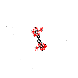 CC(=O)OC[C@H]1O[C@@]2(CCc3cc(-c4ccc5c(c4)CC[C@]4(O5)O[C@H](COC(C)=O)[C@@H](OC(C)=O)[C@H](OC(C)=O)[C@@H]4OC(C)=O)ccc3O2)[C@@H](OC(C)=O)[C@@H](OC(C)=O)[C@@H]1OC(C)=O